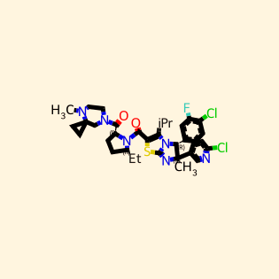 CC[C@@H]1CC[C@H](C(=O)N2CCN(C)C3(CC3)C2)N1C(=O)C1=C(C(C)C)N2C(=N[C@@](C)(c3ccc(Cl)nc3)[C@H]2c2ccc(Cl)c(F)c2)S1